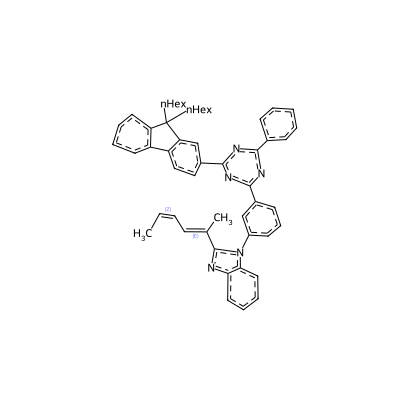 C/C=C\C=C(/C)c1nc2ccccc2n1-c1cccc(-c2nc(-c3ccccc3)nc(-c3ccc4c(c3)C(CCCCCC)(CCCCCC)c3ccccc3-4)n2)c1